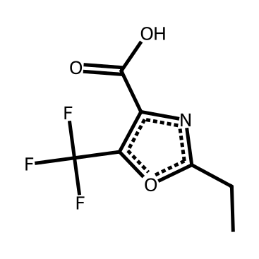 CCc1nc(C(=O)O)c(C(F)(F)F)o1